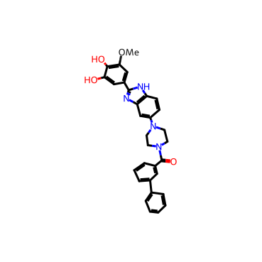 COc1cc(-c2nc3cc(N4CCN(C(=O)c5cccc(-c6ccccc6)c5)CC4)ccc3[nH]2)cc(O)c1O